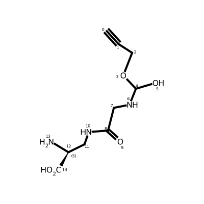 C#CCOC(O)NCC(=O)NC[C@H](N)C(=O)O